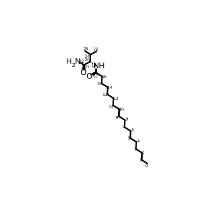 CCCCCCCCCCCCCCCCCC(=O)N[C@H](C(N)=O)C(C)C